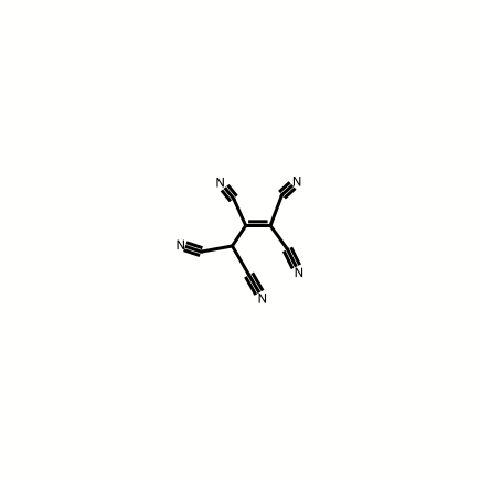 N#CC(C#N)=C(C#N)C(C#N)C#N